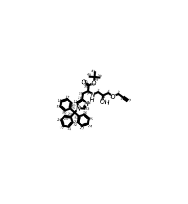 C#CCOCC(O)CNC(Cc1cn(C(c2ccccc2)(c2ccccc2)c2ccccc2)cn1)C(=O)OC(C)(C)C